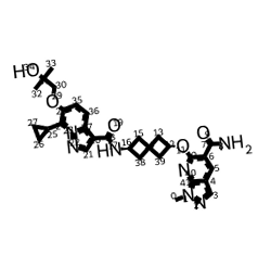 Cn1ncc2cc(C(N)=O)c(O[C@H]3CC4(C[C@H](NC(=O)c5cnn6c(C7CC7)c(OCC(C)(C)O)ccc56)C4)C3)nc21